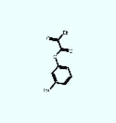 CCC(=O)C(=O)Oc1cccc(C(C)(C)C)c1